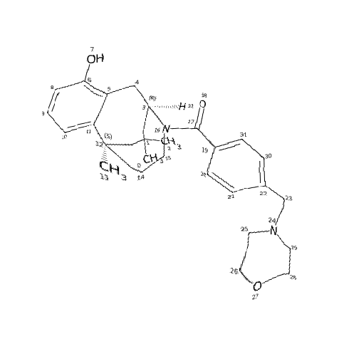 CC1(C)[C@H]2Cc3c(O)cccc3[C@]1(C)CCN2C(=O)c1ccc(CN2CCOCC2)cc1